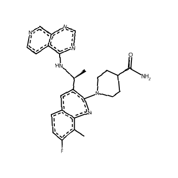 Cc1c(F)ccc2cc([C@H](C)Nc3ncnc4cnccc34)c(N3CCC(C(N)=O)CC3)nc12